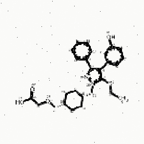 CCSc1c(-c2cccc(O)c2)c(-c2ccccc2)nn1C[C@H]1CC[C@@H](COCC(=O)O)CC1